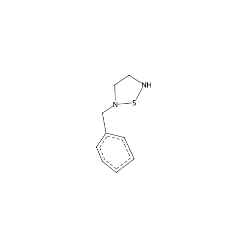 c1ccc(CN2CCNS2)cc1